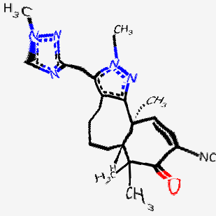 [C-]#[N+]C1=C[C@]2(C)c3nn(C)c(-c4ncn(C)n4)c3CC[C@H]2C(C)(C)C1=O